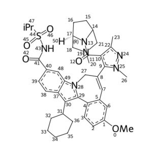 COc1ccc2c(c1)C=C(c1c(C(=O)N3C4CC[C@@H]3CN(C)C4)c(C)nn1C)Cn1c-2c(C2CCCCC2)c2ccc(C(=O)NS(=O)(=O)C(C)C)cc21